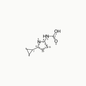 O=C(O)Nc1nc(C2CC2)cs1